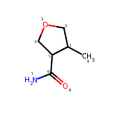 CC1COCC1C(N)=O